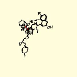 C#Cc1c(F)ccc2cc(O)cc(-c3ncc4c(N5CC6CCC(C5)N6S(=O)(=O)NC(C)C)nc(OCC5(CN6CCC(F)CC6)CC5)nc4c3F)c12